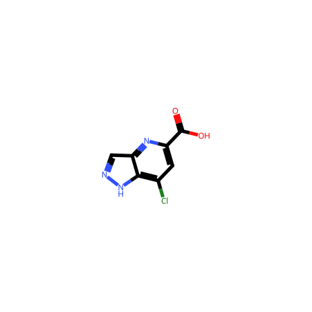 O=C(O)c1cc(Cl)c2[nH]ncc2n1